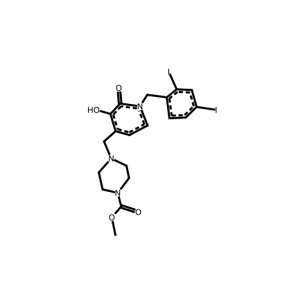 COC(=O)N1CCN(Cc2ccn(Cc3ccc(I)cc3I)c(=O)c2O)CC1